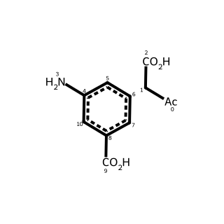 CC(=O)CC(=O)O.Nc1cccc(C(=O)O)c1